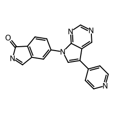 O=C1N=Cc2cc(-n3cc(-c4ccncc4)c4cncnc43)ccc21